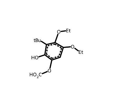 CCOc1cc(OC(=O)O)c(O)c(C(C)(C)C)c1OCC